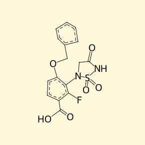 O=C1CN(c2c(OCc3ccccc3)ccc(C(=O)O)c2F)S(=O)(=O)N1